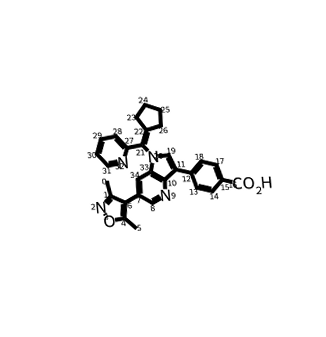 Cc1noc(C)c1-c1cnc2c(-c3ccc(C(=O)O)cc3)cn(C(=C3CCCC3)c3ccccn3)c2c1